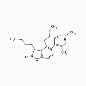 CCCCc1c(-c2ccc(C)cc2C)ccc2c1C(CCCC)C(=O)O2